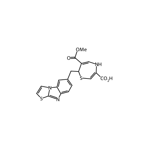 COC(=O)C1=CNC(C(=O)O)=CSC1Cc1ccc2nc3sccn3c2c1